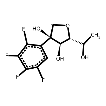 CC(O)[C@H]1O[CH][C@@](O)(c2cc(F)c(F)c(F)c2F)[C@@H]1O